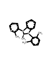 Cc1cccc(C)c1N1c2ccccc2N(c2cccnc2C)[C@@H]1C